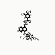 CN1CCC(C(C)(N)C(=O)Cc2ccc(/C=N/NC(=O)c3ccc(O)c(Cl)c3)c3ccccc23)C1